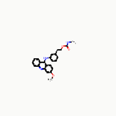 CNC(=O)OCCc1cccc(Nc2c3ccccc3nc3cc(OC)ccc23)c1